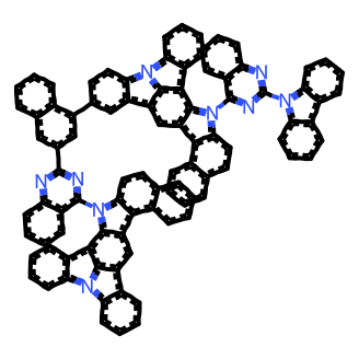 c1ccc2c(-c3ccc4c(c3)c3cc5c6c7ccccc7ccc6n(-c6nc(-n7c8ccccc8c8ccccc87)nc7ccccc67)c5c5c6ccccc6n4c35)cc(-c3nc(-n4c5ccc6ccccc6c5c5cc6c7ccccc7n7c8ccccc8c(c54)c67)c4ccccc4n3)cc2c1